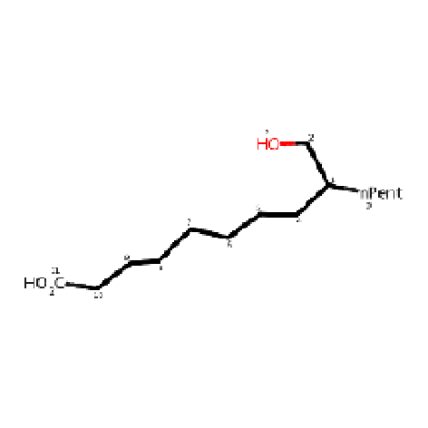 CCCCCC(CO)CCCCCCCC(=O)O